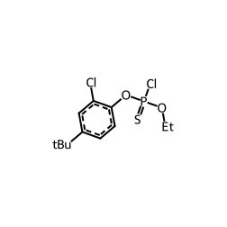 CCOP(=S)(Cl)Oc1ccc(C(C)(C)C)cc1Cl